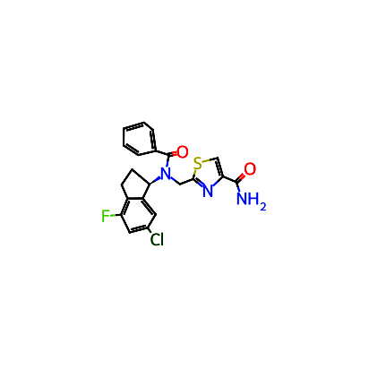 NC(=O)c1csc(CN(C(=O)c2ccccc2)[C@@H]2CCc3c(F)cc(Cl)cc32)n1